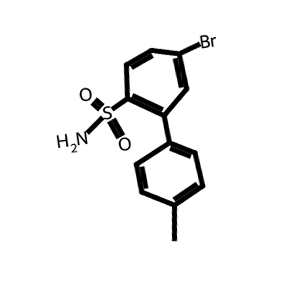 Cc1ccc(-c2cc(Br)ccc2S(N)(=O)=O)cc1